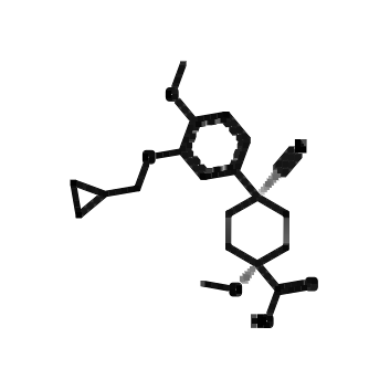 COc1ccc([C@]2(C#N)CC[C@](OC)(C(=O)O)CC2)cc1OCC1CC1